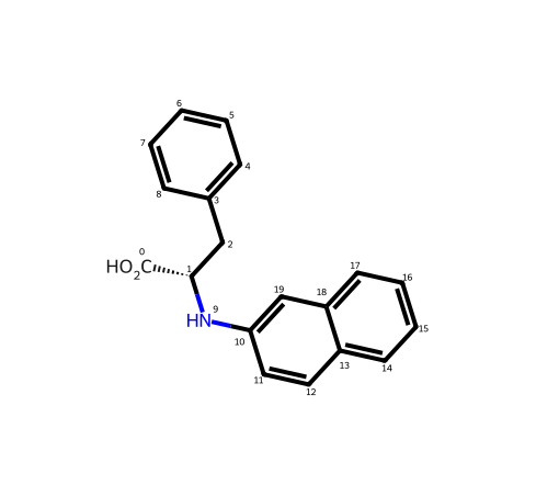 O=C(O)[C@H](Cc1ccccc1)Nc1ccc2ccccc2c1